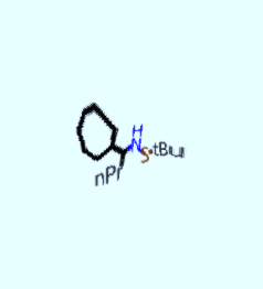 CCCC(NSC(C)(C)C)C1CCCCCC1